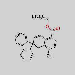 CCOC(=O)COC(=O)c1ccc(C)c2c1C=CC(c1ccccc1)(c1ccccc1)C2